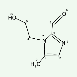 Cc1cnc(C=O)n1CCO